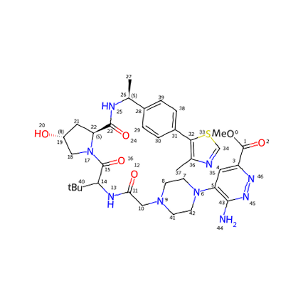 COC(=O)c1cc(N2CCN(CC(=O)NC(C(=O)N3C[C@H](O)C[C@H]3C(=O)N[C@@H](C)c3ccc(-c4scnc4C)cc3)C(C)(C)C)CC2)c(N)nn1